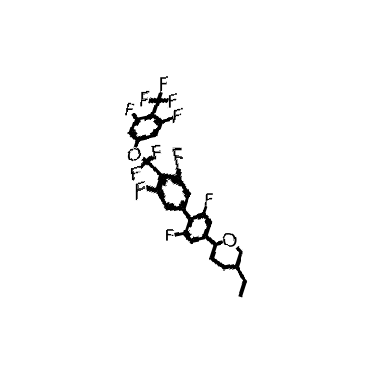 CCC1CCC(c2cc(F)c(-c3cc(F)c(C(F)(F)Oc4cc(F)c(C(F)(F)F)c(F)c4)c(F)c3)c(F)c2)OC1